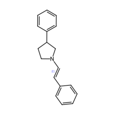 C(=C\N1CCC(c2ccccc2)C1)/c1ccccc1